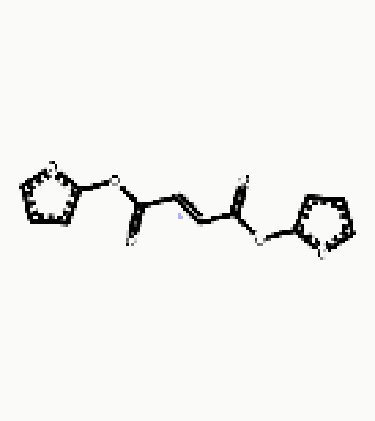 O=C(/C=C/C(=O)Oc1ccco1)Oc1ccco1